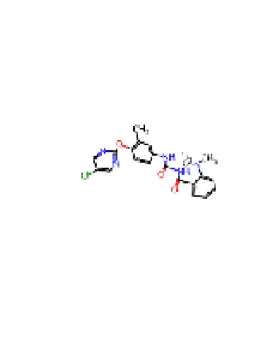 Cc1cc(NC(=O)NC(=O)c2ccccc2N(C)C)ccc1Oc1ncc(Cl)cn1